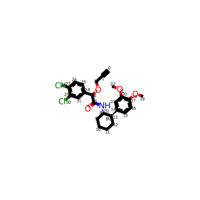 C#CCOC(C(=O)N[C@H]1CCCC[C@@H]1c1ccc(OC)c(OC)c1)c1ccc(Cl)c(Cl)c1